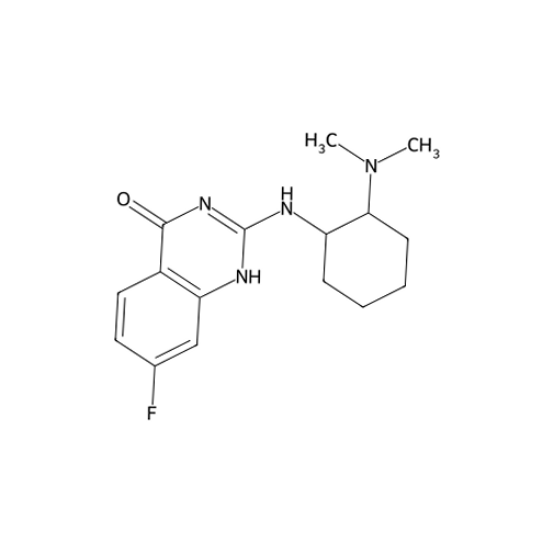 CN(C)C1CCCCC1Nc1nc(=O)c2ccc(F)cc2[nH]1